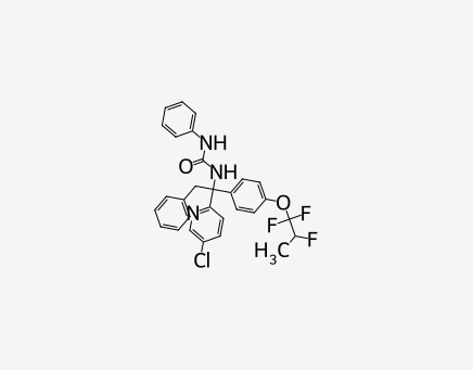 CC(F)C(F)(F)Oc1ccc(C(Cc2ccccc2)(NC(=O)Nc2ccccc2)c2ccc(Cl)cn2)cc1